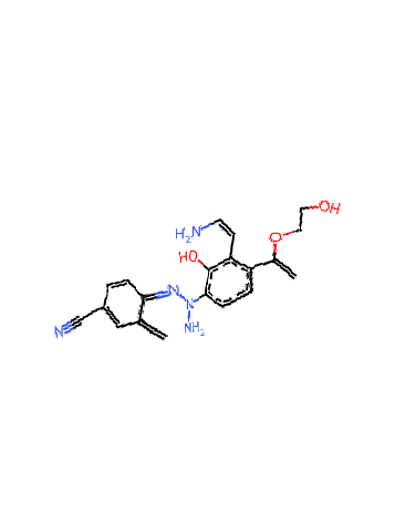 C=C1C=C(C#N)C=C/C1=N/N(N)c1ccc(C(=C)OCCO)c(/C=C\N)c1O